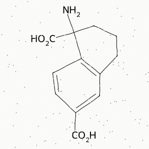 NC1(C(=O)O)CCCc2cc(C(=O)O)ccc21